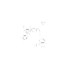 COCCN(CCCCc1ccc2c(n1)NCCC2)CC[C@H](Nc1ccnc(-c2ccccc2)n1)C(=O)O